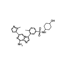 Cc1ccc(S(=O)(=O)NC2CCC(O)CC2)cc1-c1cnc2c(N)nc(-c3ccnn3C)cn12